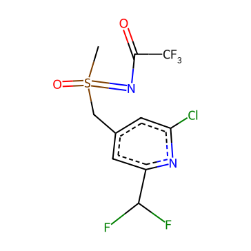 CS(=O)(Cc1cc(Cl)nc(C(F)F)c1)=NC(=O)C(F)(F)F